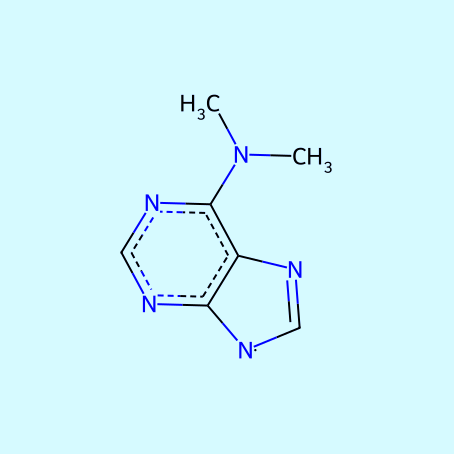 CN(C)c1ncnc2c1N=C[N]2